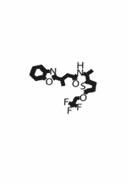 CC(CC(=O)NC(C)c1ccc(OCC(F)(F)F)s1)c1nc2ccccc2o1